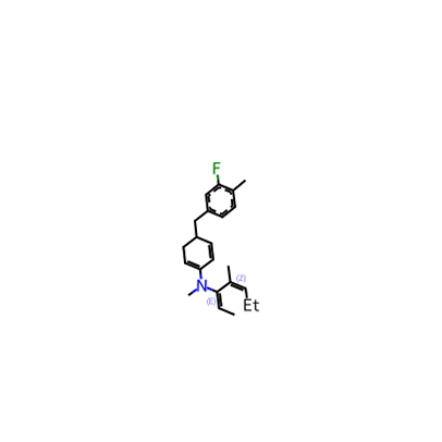 C/C=C(\C(C)=C/CC)N(C)C1=CCC(Cc2ccc(C)c(F)c2)C=C1